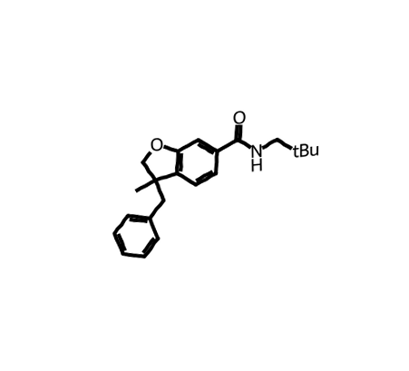 CC(C)(C)CNC(=O)c1ccc2c(c1)OCC2(C)Cc1ccccc1